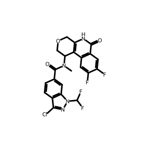 CN(C(=O)c1ccc2c(Cl)nn(C(F)F)c2c1)C1COCc2[nH]c(=O)c3cc(F)c(F)cc3c21